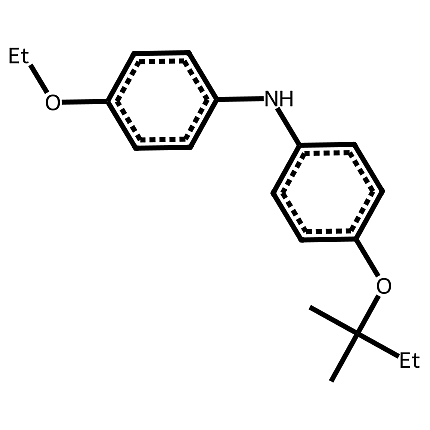 CCOc1ccc(Nc2ccc(OC(C)(C)CC)cc2)cc1